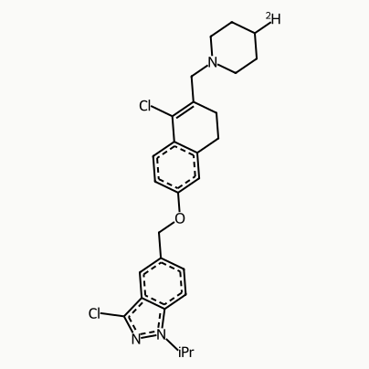 [2H]C1CCN(CC2=C(Cl)c3ccc(OCc4ccc5c(c4)c(Cl)nn5C(C)C)cc3CC2)CC1